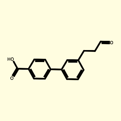 O=CCCc1cccc(-c2ccc(C(=O)O)cc2)c1